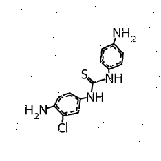 Nc1ccc(NC(=S)Nc2ccc(N)c(Cl)c2)cc1